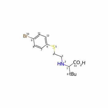 CC(C)(C)C(NCCSc1ccc(Br)cc1)C(=O)O